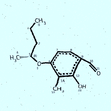 CCC[C@@H](C)Oc1ccc(C=O)c(O)c1C